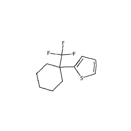 FC(F)(F)C1(c2cccs2)CCCCC1